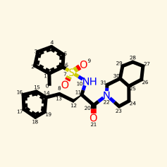 Cc1ccccc1S(=O)(=O)N[C@H](CCc1ccccc1)C(=O)N1CCC2CCCCC2C1